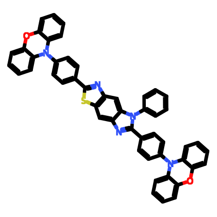 c1ccc(-n2c(-c3ccc(N4c5ccccc5Oc5ccccc54)cc3)nc3cc4sc(-c5ccc(N6c7ccccc7Oc7ccccc76)cc5)nc4cc32)cc1